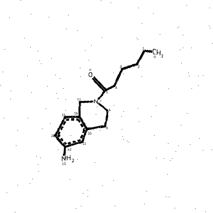 CCCCCC(=O)N1CCc2cc(N)ccc2C1